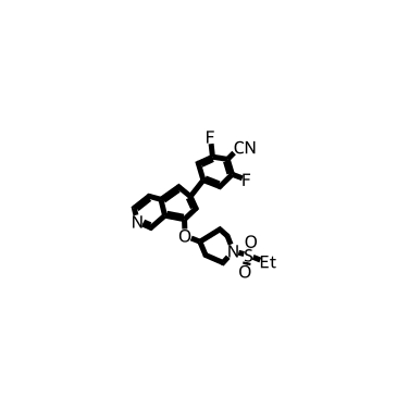 CCS(=O)(=O)N1CCC(Oc2cc(-c3cc(F)c(C#N)c(F)c3)cc3ccncc23)CC1